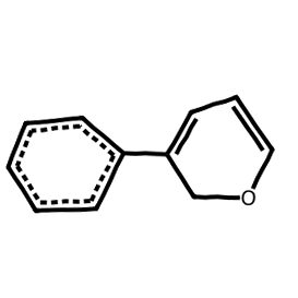 C1=COCC(c2ccccc2)=C1